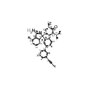 CC#Cc1cncc(-c2cccc(C3(c4cc(C(F)F)c(=O)n(CC)c4)N=C(N)c4c(F)cccc43)c2)c1